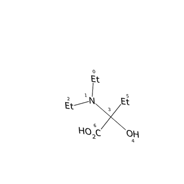 CCN(CC)C(O)(CC)C(=O)O